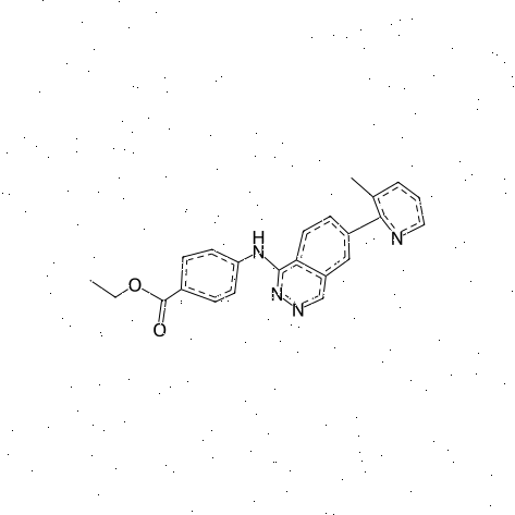 CCOC(=O)c1ccc(Nc2nncc3cc(-c4ncccc4C)ccc23)cc1